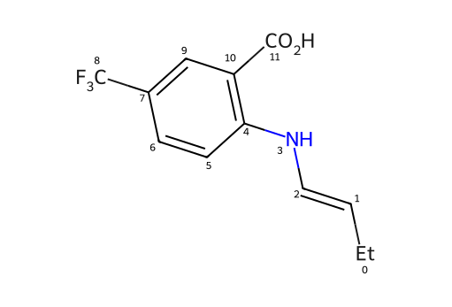 CCC=CNc1ccc(C(F)(F)F)cc1C(=O)O